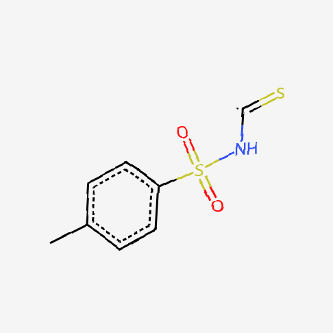 Cc1ccc(S(=O)(=O)N[C]=S)cc1